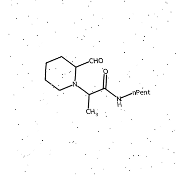 CCCCCNC(=O)C(C)N1CCCCC1C=O